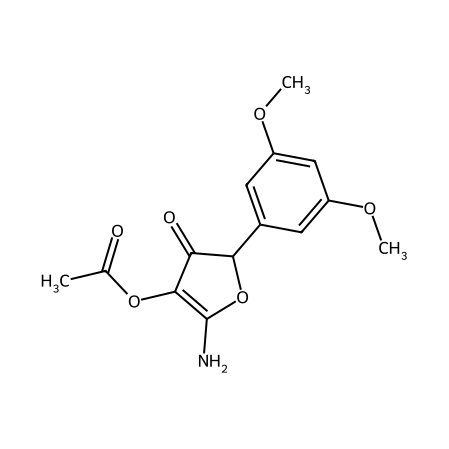 COc1cc(OC)cc(C2OC(N)=C(OC(C)=O)C2=O)c1